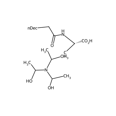 CC(O)N(C(C)O)C(C)O.CCCCCCCCCCCC(=O)N[C@@H](C)C(=O)O